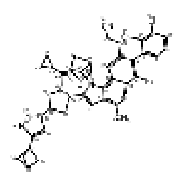 Cc1nc2c(F)c(-c3cccc(Cl)c3Cl)c(CCC#N)cc2c2c1cc(C1CC(n3cc(C45CC(C4)C5)nn3)CN1C(=O)C1CC1)n2C1C2CNC1C2